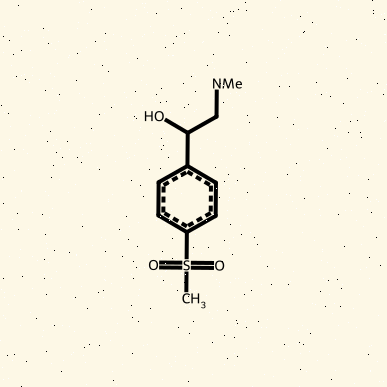 CNCC(O)c1ccc(S(C)(=O)=O)cc1